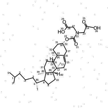 CC(C)CCC[C@@H](C)C1CC[C@H]2[C@]3(C)CC=C4C[C@@H](OC(=O)N(CC(=O)O)CC(=O)O)CC[C@]4(C)[C@H]3CC[C@]12C